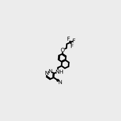 N#Cc1ccnnc1NCC1CCCc2cc(OCCC(F)(F)F)ccc21